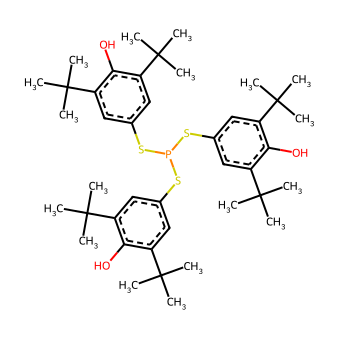 CC(C)(C)c1cc(SP(Sc2cc(C(C)(C)C)c(O)c(C(C)(C)C)c2)Sc2cc(C(C)(C)C)c(O)c(C(C)(C)C)c2)cc(C(C)(C)C)c1O